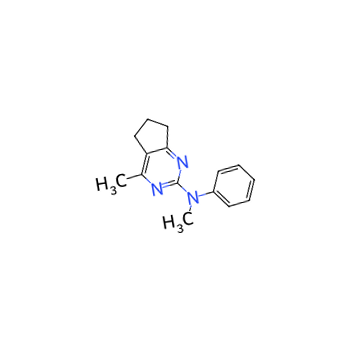 Cc1nc(N(C)c2ccccc2)nc2c1CCC2